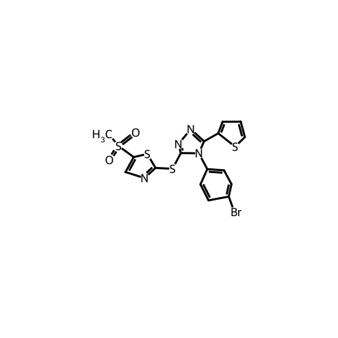 CS(=O)(=O)c1cnc(Sc2nnc(-c3cccs3)n2-c2ccc(Br)cc2)s1